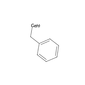 [GeH][CH2]c1ccccc1